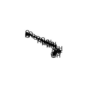 CCC1(O)C(=O)OCc2c1cc1n(c2=O)Cc2c-1nc1cc(F)c(C)c3c1c2[C@H](CNC(=O)[C@@H]1CCN1C(=O)CNC(=O)CNC(=O)CNC(=O)CNC(=O)CNC(=O)CCOCCOCCOCCOCCNC(=O)CCN1C(=O)C=CC1=O)CC3